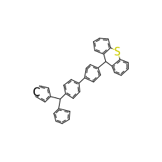 c1ccc(C(c2ccccc2)c2ccc(-c3ccc(C4c5ccccc5Sc5ccccc54)cc3)cc2)cc1